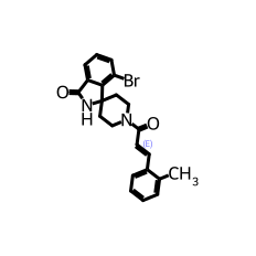 Cc1ccccc1/C=C/C(=O)N1CCC2(CC1)NC(=O)c1cccc(Br)c12